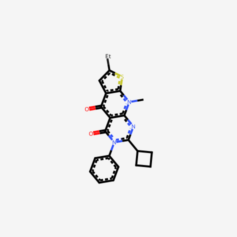 CCc1cc2c(=O)c3c(=O)n(-c4ccccc4)c(C4CCC4)nc3n(C)c2s1